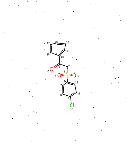 O=C(CS(=O)(=O)c1ccc(Cl)cc1)c1ccccc1